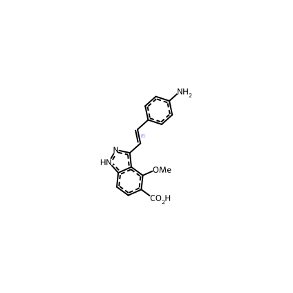 COc1c(C(=O)O)ccc2[nH]nc(/C=C/c3ccc(N)cc3)c12